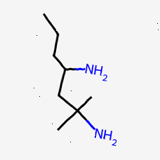 CCCC(N)CC(C)(C)N